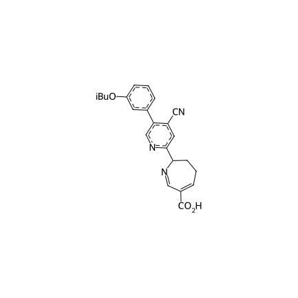 CC(C)COc1cccc(-c2cnc(C3CCC=C(C(=O)O)C=N3)cc2C#N)c1